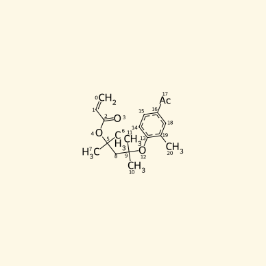 C=CC(=O)OC(C)(C)CC(C)(C)Oc1ccc(C(C)=O)cc1C